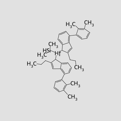 CCCC1=Cc2c(-c3cccc(C)c3C)cccc2[CH]1[Hf]([CH]1C(CCC)=Cc2c(-c3cccc(C)c3C)cccc21)[SiH](C)C